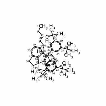 CCSCCNc1cccc2c1[C@@]1(CC2)CCc2cccc(P(c3cc(C(C)(C)C)cc(C(C)(C)C)c3)c3cc(C(C)(C)C)cc(C(C)(C)C)c3)c21